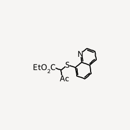 CCOC(=O)C(Sc1cccc2cccnc12)C(C)=O